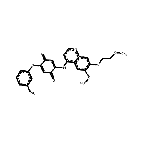 COCCOc1cc2ncnc(NC3=CC(=O)C(Oc4cccc(C)c4)=CC3=O)c2cc1OC